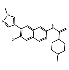 C=C(Nc1cc2cc(-c3cnn(C)c3)c(Cl)cc2cn1)C1CCN(C)CC1